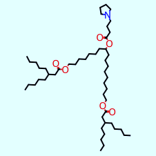 CCCCCC(CCCCC)CC(=O)OCCCCCCCCCC(CCCCCCCOC(=O)CC(CCCCC)CCCCC)OC(=O)CCCN1CCCC1